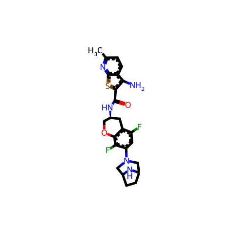 Cc1ccc2c(N)c(C(=O)N[C@@H]3COc4c(F)c(N5CC6CCC(C5)N6)cc(F)c4C3)sc2n1